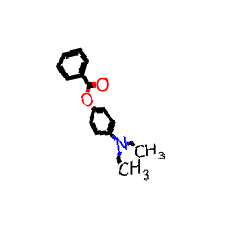 CCN(CC)c1ccc(OC(=O)c2ccccc2)cc1